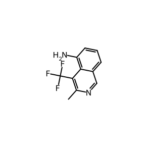 Cc1ncc2cccc(N)c2c1C(F)(F)F